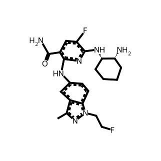 Cc1nn(CCF)c2ccc(Nc3nc(N[C@H]4CCCC[C@H]4N)c(F)cc3C(N)=O)cc12